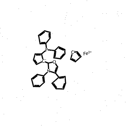 C1=C(c2ccccc2)N(c2ccccc2)C([c-]2cccc2P(c2ccccc2)c2ccccc2)O1.[Fe+2].c1cc[cH-]c1